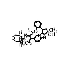 C=C(/N=C\C(=C/C)c1ccc2nc3c(n2c1)[C@@H](c1ccccc1OC(F)F)C[C@@]3(C)O)N1[C@@H]2CC[C@H]1COC2